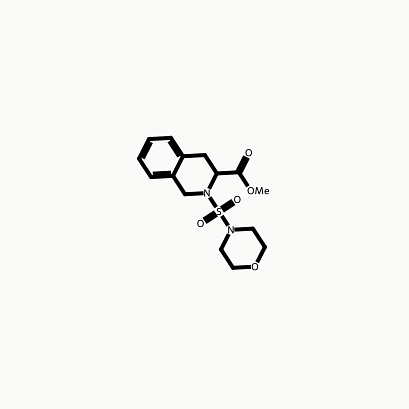 COC(=O)C1Cc2ccccc2CN1S(=O)(=O)N1CCOCC1